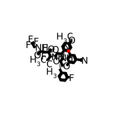 COc1ccc([C@H](NC(=O)[C@@H](Cc2cccc(F)c2)Oc2cc(C#N)cc(C#N)c2)C(=O)N[C@H](C(=O)C(F)(F)C(=O)NCC(F)(F)F)C(C)C)cc1